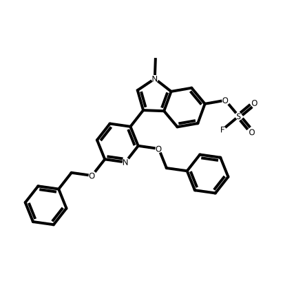 Cn1cc(-c2ccc(OCc3ccccc3)nc2OCc2ccccc2)c2ccc(OS(=O)(=O)F)cc21